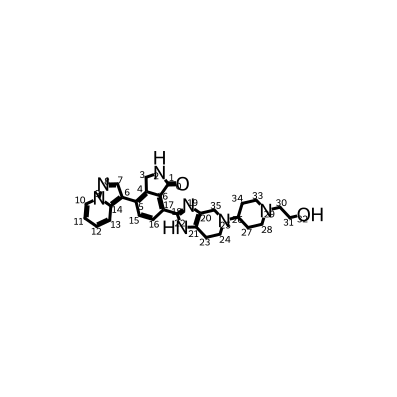 O=C1NCc2c(-c3cnn4ccccc34)ccc(-c3nc4c([nH]3)CCN(C3CCN(CCO)CC3)C4)c21